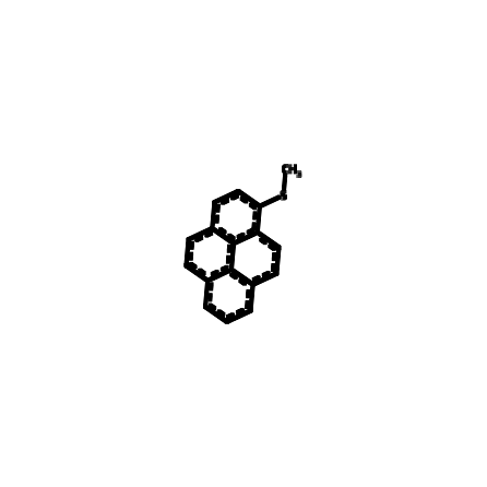 CSc1ccc2ccc3cccc4ccc1c2c34